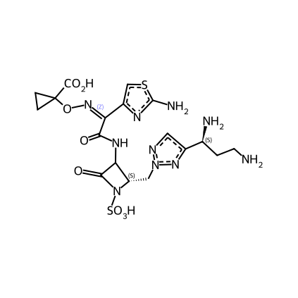 NCC[C@H](N)c1cnn(C[C@H]2C(NC(=O)/C(=N\OC3(C(=O)O)CC3)c3csc(N)n3)C(=O)N2S(=O)(=O)O)n1